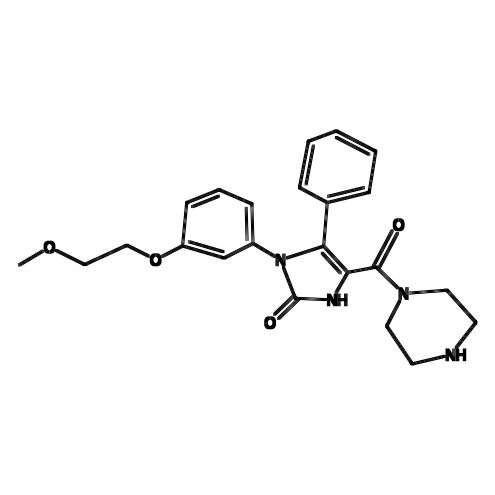 COCCOc1cccc(-n2c(-c3ccccc3)c(C(=O)N3CCNCC3)[nH]c2=O)c1